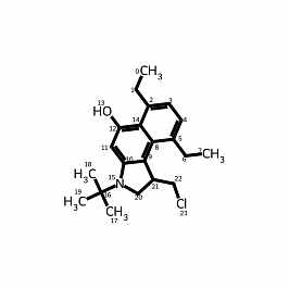 CCc1ccc(CC)c2c3c(cc(O)c12)N(C(C)(C)C)CC3CCl